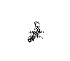 C=CCC(C)(c1ccc(C(=O)NS(=O)(=O)c2ccccc2C)cc1OC)c1c[nH]c2ccc(C(=O)NCCCC)cc12